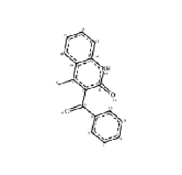 Cc1c(C(=O)c2ccccc2)c(=O)[nH]c2ccccc12